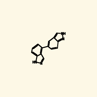 c1cc(-c2ccc3n[nH]cc3c2)c2cn[nH]c2c1